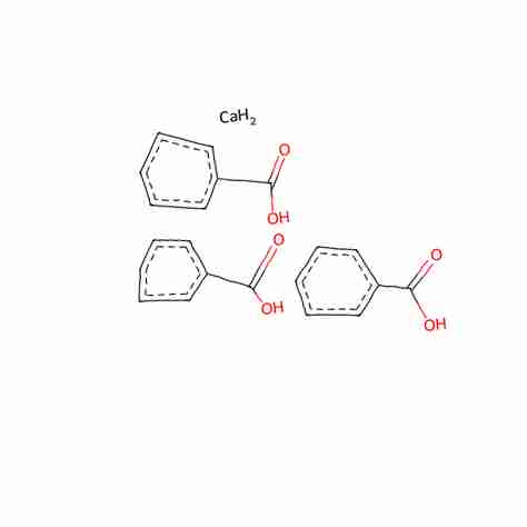 O=C(O)c1ccccc1.O=C(O)c1ccccc1.O=C(O)c1ccccc1.[CaH2]